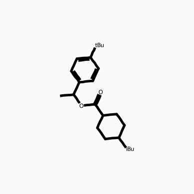 CCC(C)C1CCC(C(=O)OC(C)c2ccc(C(C)(C)C)cc2)CC1